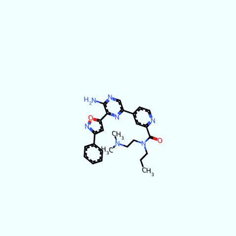 CCCN(CCN(C)C)C(=O)c1cc(-c2cnc(N)c(-c3cc(-c4ccccc4)no3)n2)ccn1